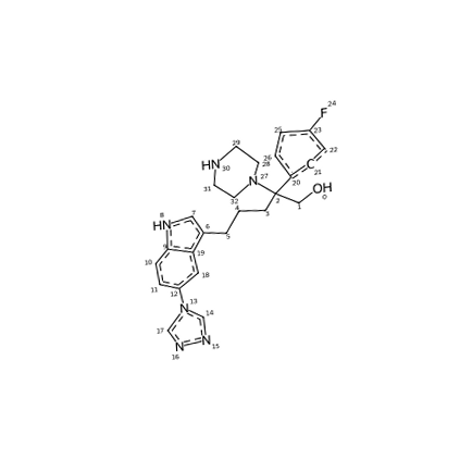 OCC(CCCc1c[nH]c2ccc(-n3cnnc3)cc12)(c1ccc(F)cc1)N1CCNCC1